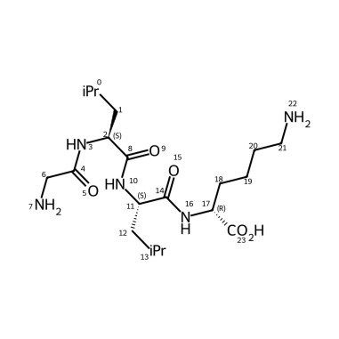 CC(C)C[C@H](NC(=O)CN)C(=O)N[C@@H](CC(C)C)C(=O)N[C@H](CCCCN)C(=O)O